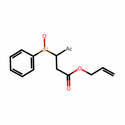 C=CCOC(=O)CC(C(C)=O)[S+]([O-])c1ccccc1